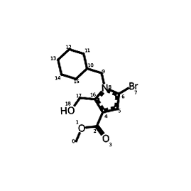 COC(=O)c1cc(Br)n(CC2CCCCC2)c1CO